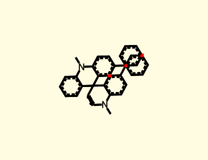 CN1c2ccccc2C2(c3ccccc3N(C)c3ccc(-c4ccccc4)cc32)c2cc(-c3ccccc3)ccc21